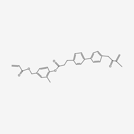 C=CC(=O)OCc1ccc(OC(=O)CCc2ccc(-c3ccc(CC(=O)C(=C)C)cc3)cc2)c(C)c1